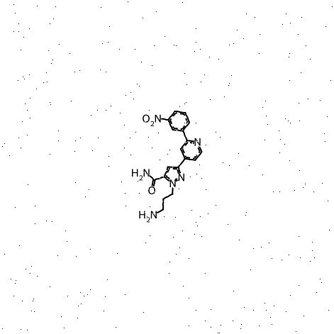 NCCCn1nc(-c2ccnc(-c3cccc([N+](=O)[O-])c3)c2)cc1C(N)=O